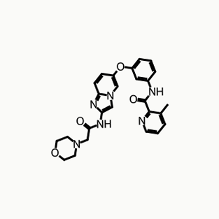 Cc1cccnc1C(=O)Nc1cccc(Oc2ccc3nc(NC(=O)CN4CCOCC4)cn3c2)c1